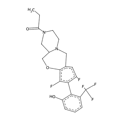 CCC(=O)N1CCN2Cc3cc(F)c(-c4c(O)cccc4C(F)(F)F)c(F)c3OCC2C1